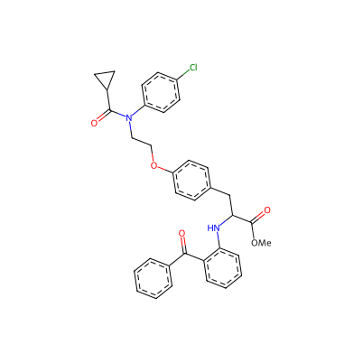 COC(=O)C(Cc1ccc(OCCN(C(=O)C2CC2)c2ccc(Cl)cc2)cc1)Nc1ccccc1C(=O)c1ccccc1